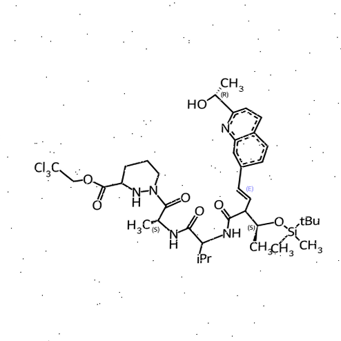 CC(C)C(NC(=O)C(/C=C/c1ccc2ccc([C@@H](C)O)nc2c1)[C@H](C)O[Si](C)(C)C(C)(C)C)C(=O)N[C@@H](C)C(=O)N1CCCC(C(=O)OCC(Cl)(Cl)Cl)N1